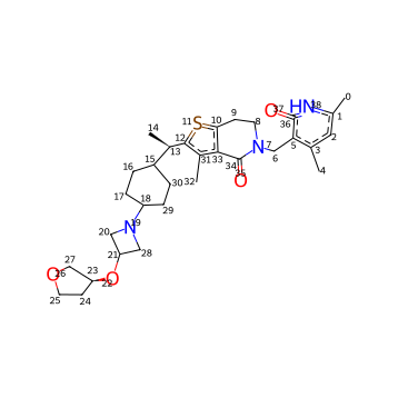 Cc1cc(C)c(CN2CCc3sc([C@H](C)C4CCC(N5CC(O[C@H]6CCOC6)C5)CC4)c(C)c3C2=O)c(=O)[nH]1